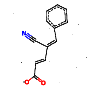 N#CC(C=CC([O])=O)=Cc1ccccc1